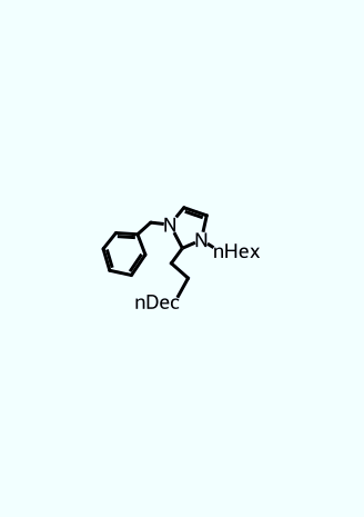 CCCCCCCCCCCCC1N(CCCCCC)C=CN1Cc1ccccc1